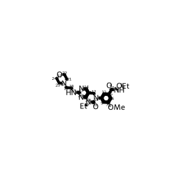 CCONC(=O)c1cc(OC)cc(N2Cc3cnc(NCCN4CCOCC4)nc3N(CC)C2=O)c1